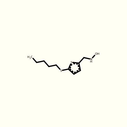 CCCCCSc1ccc(CNO)s1